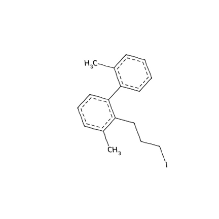 Cc1ccccc1-c1cccc(C)c1CCCI